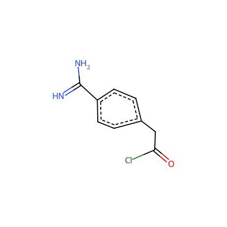 N=C(N)c1ccc(CC(=O)Cl)cc1